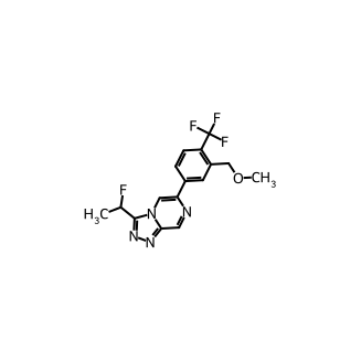 COCc1cc(-c2cn3c(C(C)F)nnc3cn2)ccc1C(F)(F)F